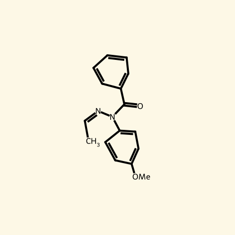 C/C=N\N(C(=O)c1ccccc1)c1ccc(OC)cc1